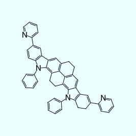 C1=C(c2ccccn2)CCc2c1c1cc3c4c(c1n2-c1ccccc1)CCc1c-4c(cc2c4cc(-c5ccccn5)ccc4n(-c4ccccc4)c12)CC3